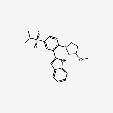 COC1CCN(c2ccc(S(=O)(=O)N(C)C)cc2-c2cc3ccccc3[nH]2)C1